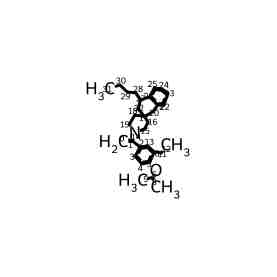 C=C(c1ccc(OC(C)C)c(CC)c1)N1CCC2(CC1)Cc1ccccc1C(CCCC)C2